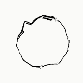 C1=C\CCCCCCCCCCCC/C=C/C=C/1